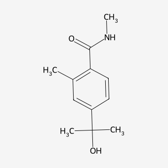 CNC(=O)c1ccc(C(C)(C)O)cc1C